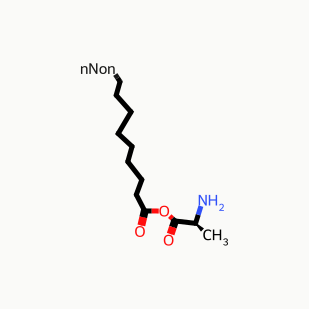 CCCCCCCCCCCCCCCCCC(=O)OC(=O)[C@H](C)N